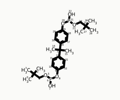 CC(C)(C)COP(O)Oc1ccc(C(C)(C)c2ccc(OP(O)OCC(C)(C)C)cc2)cc1